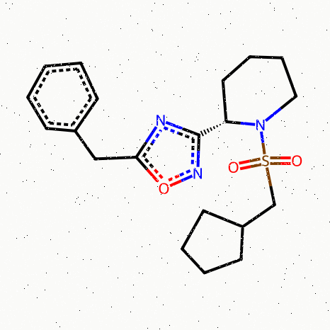 O=S(=O)(CC1CCCC1)N1CCCC[C@H]1c1noc(Cc2ccccc2)n1